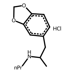 CCCNC(C)Cc1ccc2c(c1)OCO2.Cl